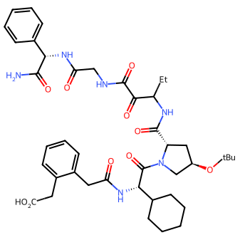 CCC(NC(=O)[C@@H]1C[C@@H](OC(C)(C)C)CN1C(=O)[C@@H](NC(=O)Cc1ccccc1CC(=O)O)C1CCCCC1)C(=O)C(=O)NCC(=O)N[C@H](C(N)=O)c1ccccc1